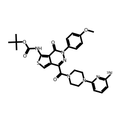 COc1ccc(-n2nc(C(=O)N3CCN(c4cccc([18F])n4)CC3)c3csc(NC(=O)OC(C)(C)C)c3c2=O)cc1